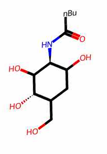 CCCCC(=O)N[C@H]1C(O)CC(CO)[C@H](O)C1O